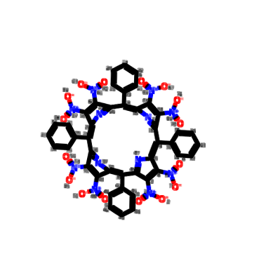 O=[N+]([O-])C1=C([N+](=O)[O-])C2=C(c3ccccc3)C3=NC(=C(c4ccccc4)C4=NC(=C(c5ccccc5)C5=NC(=C(c6ccccc6)C1=N2)C([N+](=O)[O-])=C5[N+](=O)[O-])C([N+](=O)[O-])=C4[N+](=O)[O-])C([N+](=O)[O-])=C3[N+](=O)[O-]